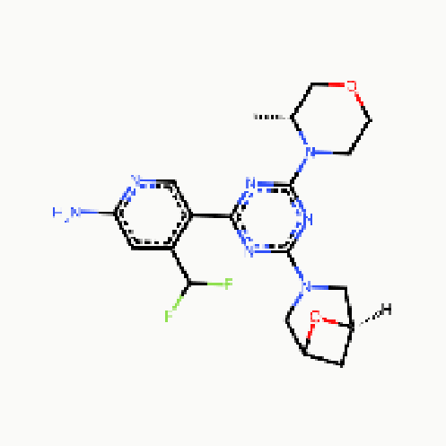 C[C@@H]1COCCN1c1nc(-c2cnc(N)cc2C(F)F)nc(N2CC3C[C@H](C2)O3)n1